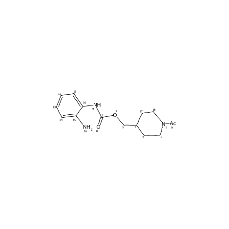 CC(=O)N1CCC(COC(=O)Nc2ccccc2N)CC1